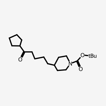 CC(C)(C)OC(=O)N1CCC(CCCCC(=O)C2CCCC2)CC1